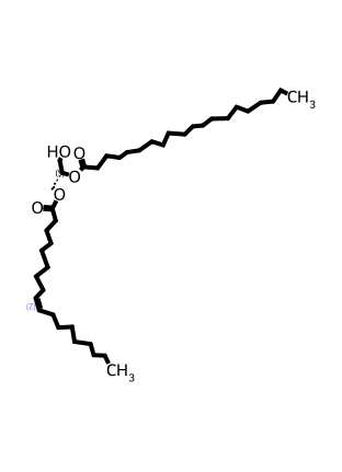 CCCCCCCC/C=C\CCCCCCCC(=O)OC[C@H](CO)OC(=O)CCCCCCCCCCCCCCCCCCC